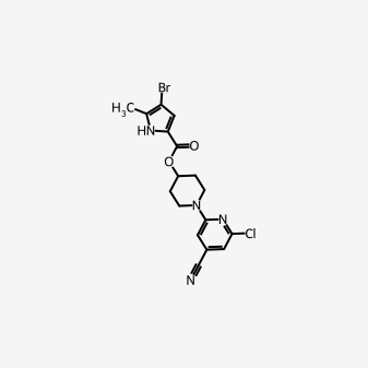 Cc1[nH]c(C(=O)OC2CCN(c3cc(C#N)cc(Cl)n3)CC2)cc1Br